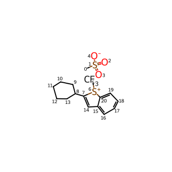 CS(=O)(=O)[O-].FC(F)(F)[s+]1c(C2CCCCC2)cc2ccccc21